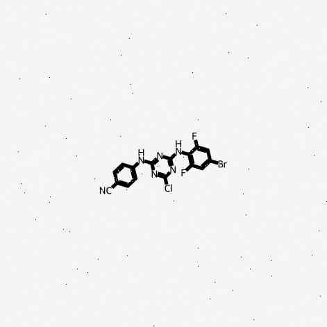 N#Cc1ccc(Nc2nc(Cl)nc(Nc3c(F)cc(Br)cc3F)n2)cc1